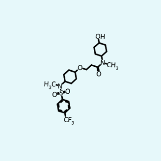 CN(C(=O)CCOC1CCC(N(C)S(=O)(=O)c2ccc(C(F)(F)F)cc2)CC1)C1CCC(O)CC1